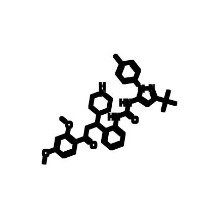 COc1ccc(C(=O)CC(c2ccccc2NC(=O)Nc2cc(C(C)(C)C)nn2-c2ccc(C)cc2)C2CCNCC2)c(OC)c1